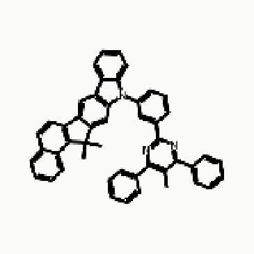 Cc1c(-c2ccccc2)nc(-c2cccc(-n3c4ccccc4c4cc5c(cc43)C(C)(C)c3c-5ccc4ccccc34)c2)nc1-c1ccccc1